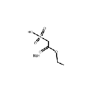 CCOC(=O)CS(=O)(=O)O.[NaH]